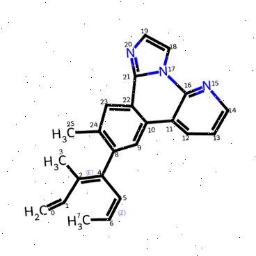 C=C/C(C)=C(\C=C/C)c1cc2c3cccnc3n3ccnc3c2cc1C